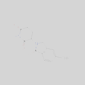 O=Cc1ccc2c(c1)CN(C1CCC(=O)NC1=O)C2=O